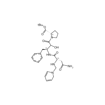 CC(C)(C)OC(=O)[C@@H]1CCCN1C(=O)C(O)[C@H](Cc1ccccc1)NC(=O)[C@H](CC(N)=O)NCN1C=CC=CC1